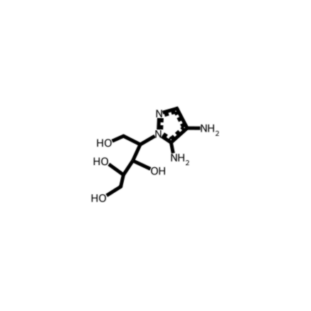 Nc1cnn(C(CO)C(O)C(O)CO)c1N